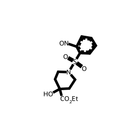 CCOC(=O)C1(O)CCN(S(=O)(=O)c2ccccc2N=O)CC1